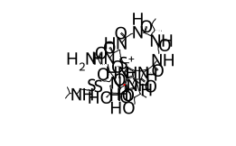 CC[C@H](C)[C@@H]1NC(=O)CNC(=O)[C@@H]2Cc3c4[nH]c5cc(ccc35)OC(CCSSCCNC(C)C)(C(=O)[C@H](CC(N)=O)NC(=O)C(C[S@@+]4[O-])NC(=O)CNC1=O)N1C[C@H](O)C[C@H]1C(=O)N[C@@H]([C@@H](C)[C@@H](O)CO)C(=O)N2